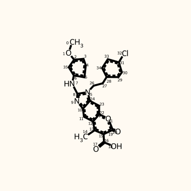 COc1cccc(Nc2nc3cc4c(C)c(C(=O)O)c(=O)oc4cc3n2CCc2ccc(Cl)cc2)c1